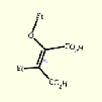 CCO/C(C(=O)O)=C(\CC)C(=O)O